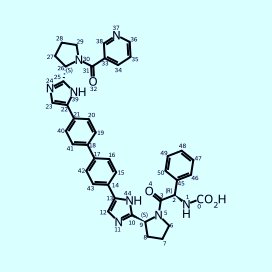 O=C(O)N[C@@H](C(=O)N1CCC[C@H]1c1ncc(-c2ccc(-c3ccc(-c4cnc([C@@H]5CCCN5C(=O)c5cccnc5)[nH]4)cc3)cc2)[nH]1)c1ccccc1